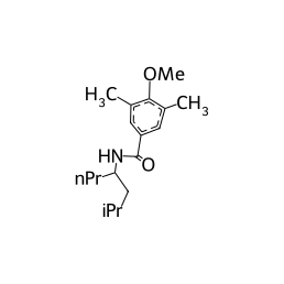 CCCC(CC(C)C)NC(=O)c1cc(C)c(OC)c(C)c1